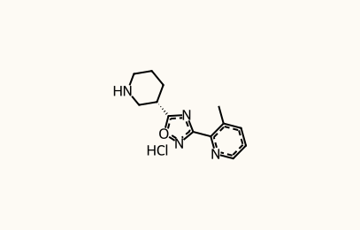 Cc1cccnc1-c1noc([C@H]2CCCNC2)n1.Cl